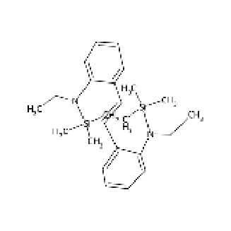 CCN(c1ccccc1C=Cc1ccccc1N(CC)[Si](C)(C)C)[Si](C)(C)C